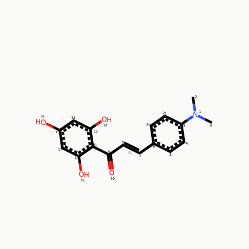 CN(C)c1ccc(/C=C/C(=O)c2c(O)cc(O)cc2O)cc1